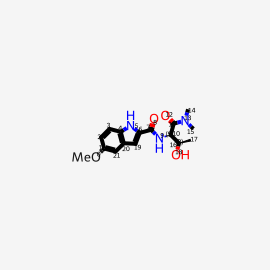 COc1ccc2[nH]c(C(=O)N[C@H](C(=O)N(C)C)[C@@H](C)O)cc2c1